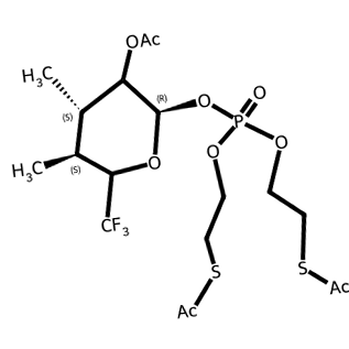 CC(=O)OC1[C@@H](OP(=O)(OCCSC(C)=O)OCCSC(C)=O)OC(C(F)(F)F)[C@@H](C)[C@@H]1C